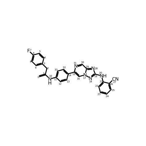 C=C(Cc1ccc(F)cc1)Nc1ccc(-c2cn3nc(Nc4ccccc4C#N)nc3cn2)cc1